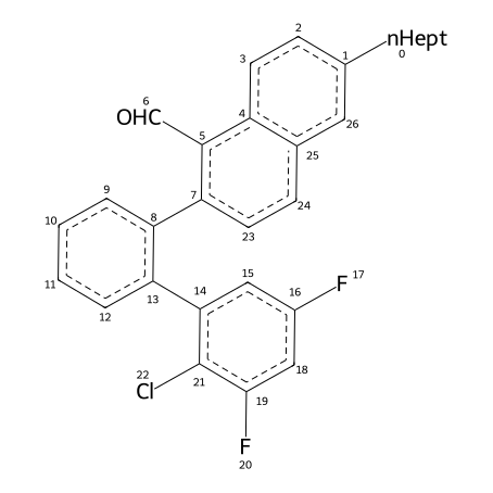 CCCCCCCc1ccc2c(C=O)c(-c3ccccc3-c3cc(F)cc(F)c3Cl)ccc2c1